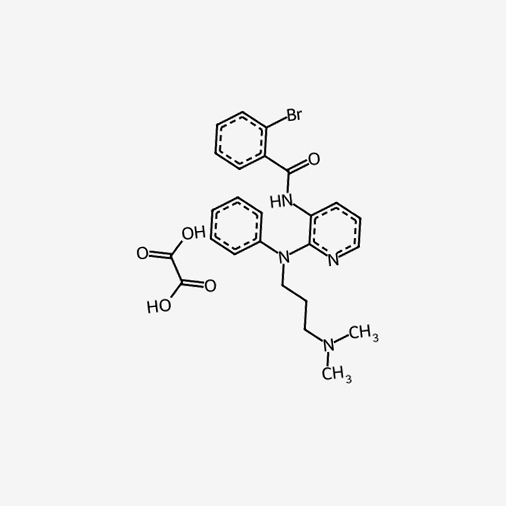 CN(C)CCCN(c1ccccc1)c1ncccc1NC(=O)c1ccccc1Br.O=C(O)C(=O)O